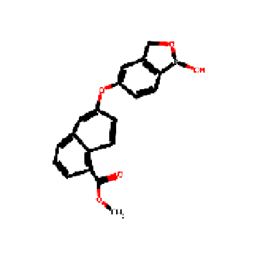 COC(=O)c1cccc2cc(Oc3ccc4c(c3)COB4O)ccc12